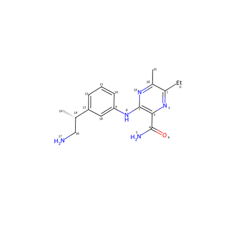 CCc1nc(C(N)=O)c(Nc2cccc([C@@H](C)CN)c2)nc1C